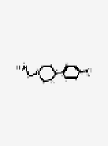 NCN1CCC(c2ccc(Cl)cc2)CC1